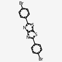 Brc1ccc(-c2nc3nc(-c4ccc(Br)cc4)sc3s2)cc1